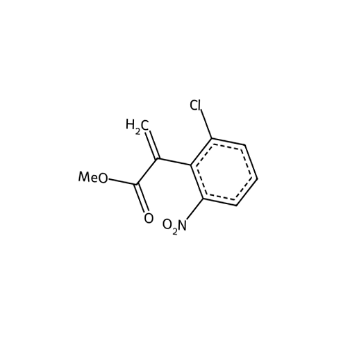 C=C(C(=O)OC)c1c(Cl)cccc1[N+](=O)[O-]